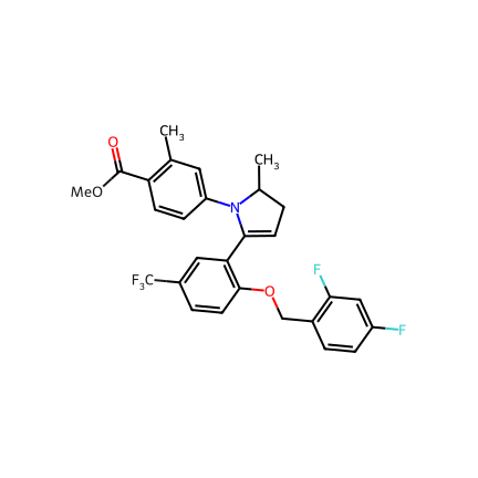 COC(=O)c1ccc(N2C(c3cc(C(F)(F)F)ccc3OCc3ccc(F)cc3F)=CCC2C)cc1C